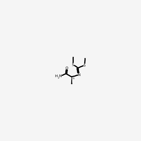 CSC(=N[C@@H](C)C(N)=O)SC